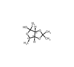 C[C@H]1OC(C)(O)[C@@H]2OC(C)(C)O[C@@H]21